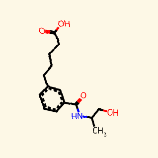 CC(CO)NC(=O)c1cccc(CCCCC(=O)O)c1